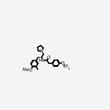 COc1ccc(C[C@@H](CN2CCCC2)NC(=O)Cc2ccc(OC(F)(F)F)cc2)cc1C